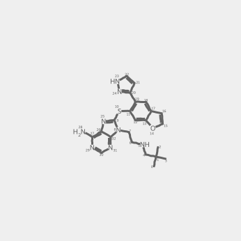 CC(C)(C)CNCCn1c(Sc2cc3occc3cc2-c2cc[nH]n2)nc2c(N)ncnc21